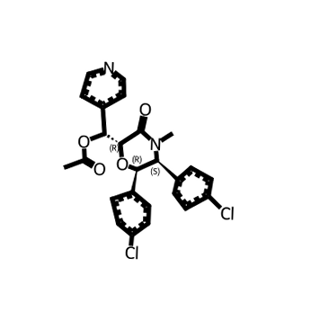 CC(=O)OC(c1ccncc1)[C@H]1O[C@H](c2ccc(Cl)cc2)[C@H](c2ccc(Cl)cc2)N(C)C1=O